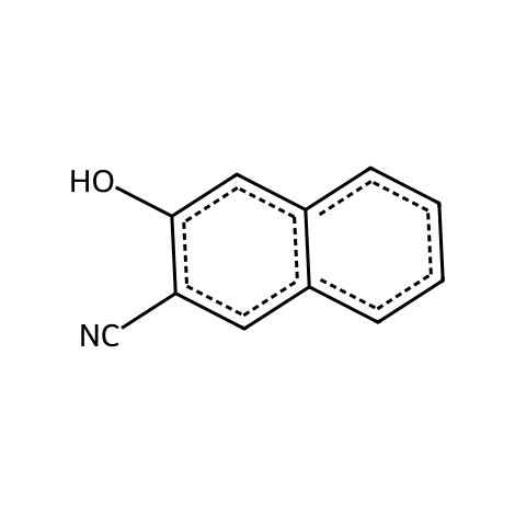 N#Cc1cc2ccccc2cc1O